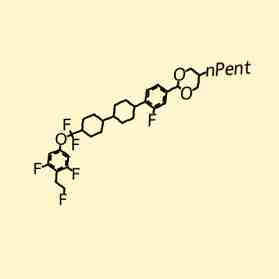 CCCCCC1COC(c2ccc(C3CCC(C4CCC(C(F)(F)Oc5cc(F)c(CCF)c(F)c5)CC4)CC3)c(F)c2)OC1